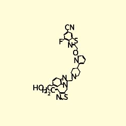 C=Cc1ncsc1Cn1c(CN2CCC(c3cccc(OCc4nc5c(F)cc(C#N)cc5s4)n3)CC2)nc2ccc(C(=O)O)cc21